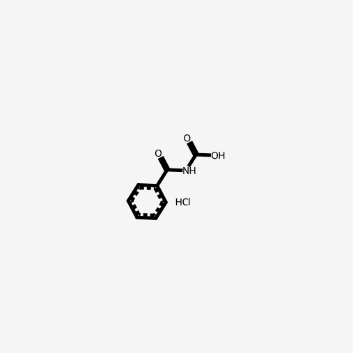 Cl.O=C(O)NC(=O)c1ccccc1